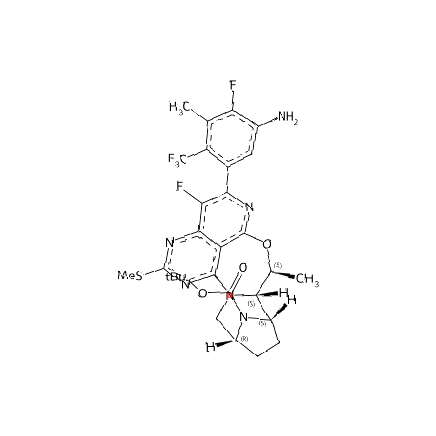 CSc1nc2c3c(nc(-c4cc(N)c(F)c(C)c4C(F)(F)F)c(F)c3n1)O[C@@H](C)[C@@H]1[C@@H]3CC[C@H](CN21)N3C(=O)OC(C)(C)C